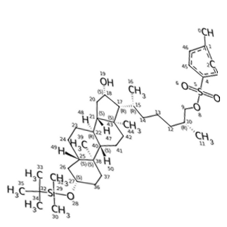 Cc1ccc(S(=O)(=O)OC[C@H](C)CCC[C@@H](C)[C@H]2[C@@H](O)C[C@H]3[C@@H]4CC[C@H]5C[C@@H](O[Si](C)(C)C(C)(C)C)CC[C@]5(C)[C@H]4CC[C@]23C)cc1